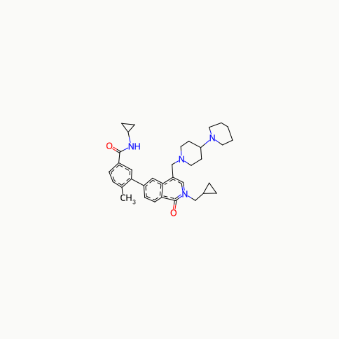 Cc1ccc(C(=O)NC2CC2)cc1-c1ccc2c(=O)n(CC3CC3)cc(CN3CCC(N4CCCCC4)CC3)c2c1